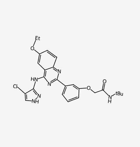 CCOc1ccc2nc(-c3cccc(OCC(=O)NC(C)(C)C)c3)nc(Nc3n[nH]cc3Cl)c2c1